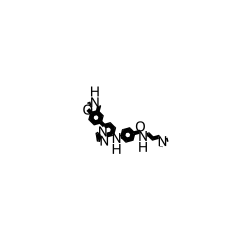 CN(C)CCCNC(=O)c1ccc(Nc2ccc(-c3ccc4c(c3)CNCO4)n3ccnc23)cc1